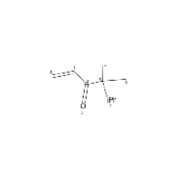 C=CC(=O)C(C)(C)C(C)C